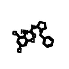 O=C(/N=C1/CCCN1Cc1ccccc1)Nc1c(Cl)cc(Cl)cc1Cl